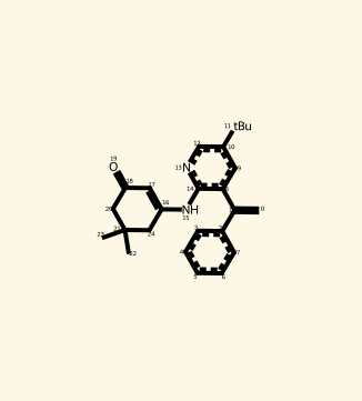 C=C(c1ccccc1)c1cc(C(C)(C)C)cnc1NC1=CC(=O)CC(C)(C)C1